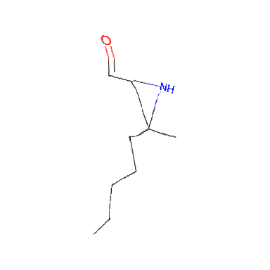 CCCCCC1(C)NC1C=O